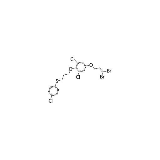 Clc1ccc(SCCCOc2c(Cl)cc(OCC=C(Br)Br)cc2Cl)cc1